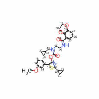 COc1cccc(-c2sc(C3CC3)nc2OC(=O)N(CCNC(=O)c2cccc3c2OCCO3)CC2CC2)c1